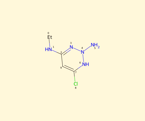 CCNC1=NN(N)NC(Cl)=C1